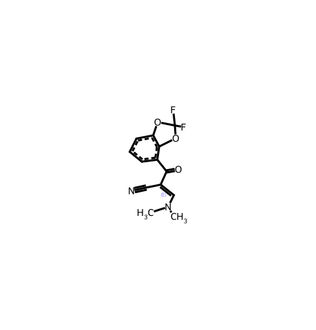 CN(C)/C=C(\C#N)C(=O)c1cccc2c1OC(F)(F)O2